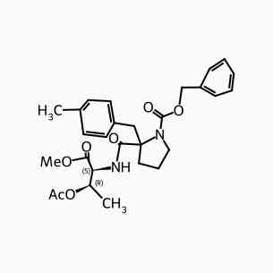 COC(=O)[C@@H](NC(=O)C1(Cc2ccc(C)cc2)CCCN1C(=O)OCc1ccccc1)[C@@H](C)OC(C)=O